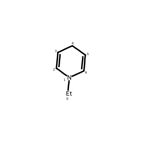 CCN1C=CCC=C1